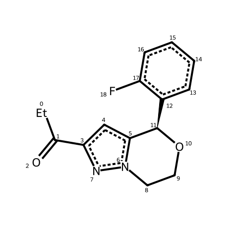 CCC(=O)c1cc2n(n1)CCO[C@@H]2c1ccccc1F